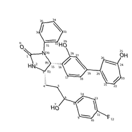 O=C1N[C@@H](CCC(O)c2ccc(F)cc2)[C@@H](c2ccc(-c3cccc(O)c3)cc2O)N1c1ccccc1